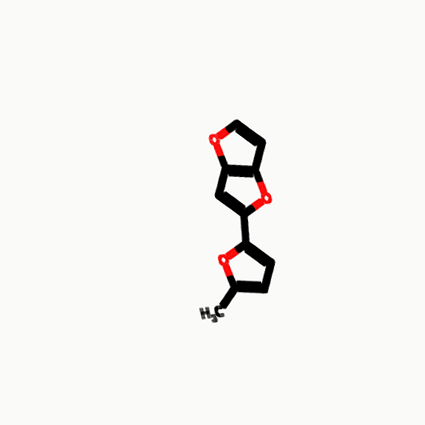 Cc1ccc(-c2cc3occc3o2)o1